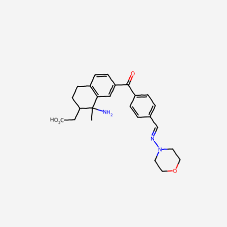 CC1(N)c2cc(C(=O)c3ccc(C=NN4CCOCC4)cc3)ccc2CCC1CC(=O)O